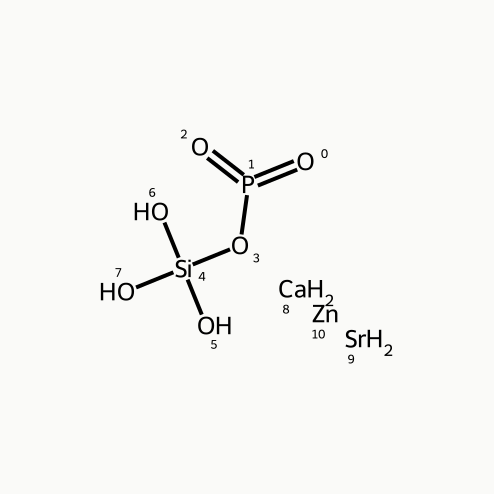 O=P(=O)O[Si](O)(O)O.[CaH2].[SrH2].[Zn]